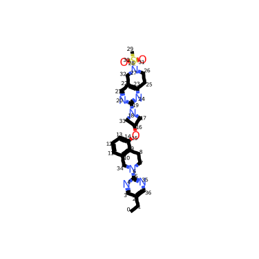 CCc1cnc(N2CCc3c(cccc3OC3CN(c4ncc5c(n4)CCN(S(C)(=O)=O)C5)C3)C2)nc1